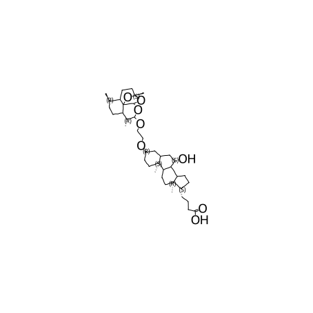 C[C@H]1C(OCCO[C@@H]2CC[C@@]3(C)C(C2)C[C@H](O)C2C3CC[C@@]3(C)C2CC[C@@H]3CCCC(=O)O)OC2O[C@@]3(C)CCC4[C@H](C)CCC1C24O3